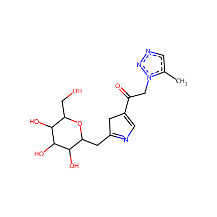 Cc1cnnn1CC(=O)C1=CN=C(CC2OC(CO)C(O)C(O)C2O)C1